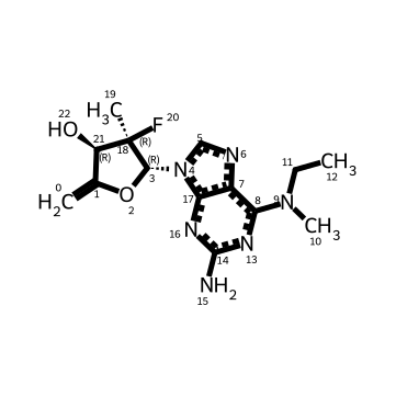 C=C1O[C@@H](n2cnc3c(N(C)CC)nc(N)nc32)[C@](C)(F)[C@@H]1O